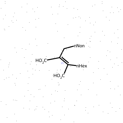 CCCCCCCCCC/C(C(=O)O)=C(\CCCCCC)C(=O)O